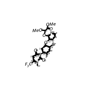 COC(=O)C(OC)Oc1ncccc1Oc1cc(-n2c(=O)cc(C(F)(F)F)n(C)c2=O)c(F)cc1Br